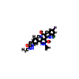 CN[S@](C)(=O)=Nc1cccc(-c2nn(C3CC3)c(=O)c3c(Nc4ccc(I)cc4F)c(C)c(=O)n(C)c23)c1